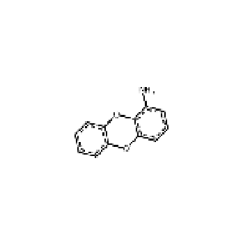 Nc1cccc2c1Oc1ccccc1O2